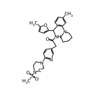 Cc1ccc(C(NC(=O)Cc2ccc(N3CCN(S(C)(=O)=O)CC3)nc2)c2ccc(C)o2)c(N2CCCCC2)c1